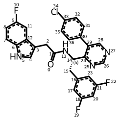 O=C(Cc1c[nH]c2ccc(F)cc12)N[C@@H](Cc1cc(F)cc(F)c1)c1ncncc1-c1ccc(Cl)cc1